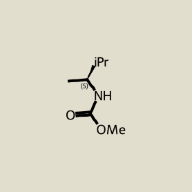 COC(=O)N[C@@H](C)C(C)C